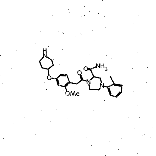 COc1cc(OC2CCNCC2)ccc1CC(=O)N1CCN(c2ccccc2C)CC1C(N)=O